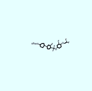 CCCCCc1ccc(-c2ccc(C(F)(F)Oc3ccc(OC=C(F)F)c(F)c3)c(F)c2)cc1